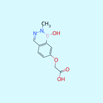 CN1N=Cc2ccc(OCC(=O)O)cc2B1O